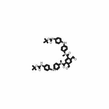 CN(C(=O)c1cc(C(=O)N(C)c2ccc(Nc3ccc(NC(=O)OC(C)(C)C)cc3)cc2)c(C=O)cc1C=O)c1ccc(Nc2ccc(NC(=O)OC(C)(C)C)cc2)cc1